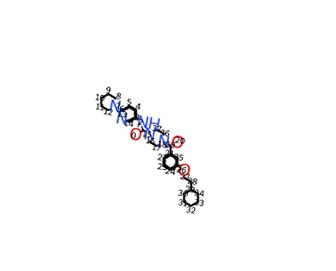 O=C(Nc1ccc(N2CCCCC2)nc1)N1CCN(C(=O)c2cccc(OCCC3CCCCC3)c2)CC1